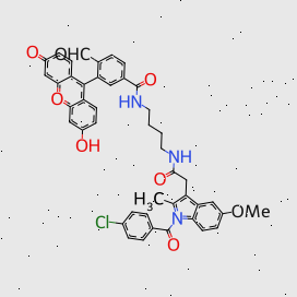 COc1ccc2c(c1)c(CC(=O)NCCCCNC(=O)c1ccc(C=O)c(-c3c4ccc(=O)cc-4oc4cc(O)ccc34)c1)c(C)n2C(=O)c1ccc(Cl)cc1